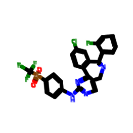 O=S(=O)(c1ccc(Nc2ncc3c(n2)-c2ccc(Cl)cc2C(c2ccccc2F)=NC3)cc1)C(F)(F)F